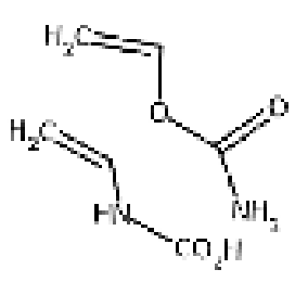 C=CNC(=O)O.C=COC(N)=O